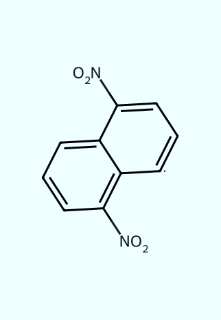 O=[N+]([O-])c1cccc2c([N+](=O)[O-])cc[c]c12